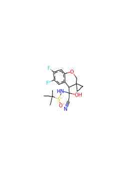 CC(C)(C)[S@+]([O-])NC(O)(C#N)C1c2cc(F)c(F)cc2OCC12CC2